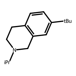 CC(C)N1CCc2ccc(C(C)(C)C)cc2C1